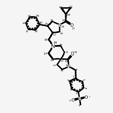 CS(=O)(=O)c1ccc(CN2CCC3(CCN(CC4CN(C(=O)C5CC5)CC4c4ccccc4)CC3)C2=O)cc1